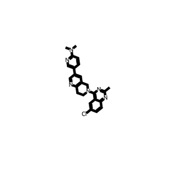 Cc1nc(N2CCc3ncc(-c4ccc(N(C)C)nc4)cc3C2)c2cc(Cl)ccc2n1